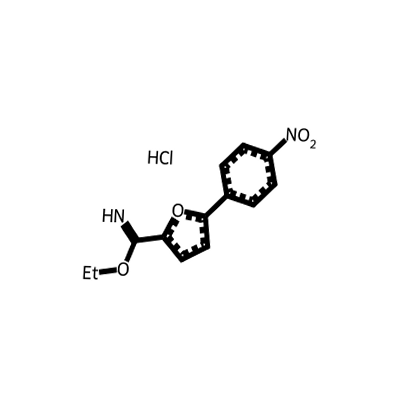 CCOC(=N)c1ccc(-c2ccc([N+](=O)[O-])cc2)o1.Cl